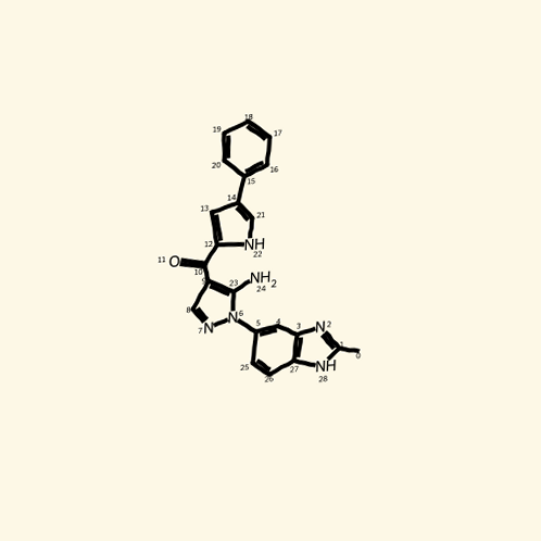 Cc1nc2cc(-n3ncc(C(=O)c4cc(-c5ccccc5)c[nH]4)c3N)ccc2[nH]1